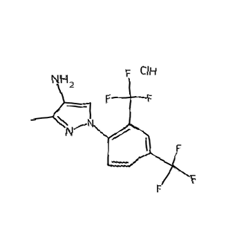 Cc1nn(-c2ccc(C(F)(F)F)cc2C(F)(F)F)cc1N.Cl